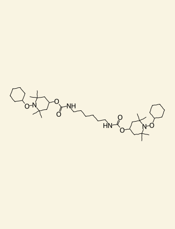 CC1(C)CC(OC(=O)NCCCCCCNC(=O)OC2CC(C)(C)N(OC3CCCCC3)C(C)(C)C2)CC(C)(C)N1OC1CCCCC1